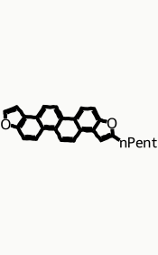 CCCCCc1cc2c(ccc3c2ccc2c4ccc5occc5c4ccc32)o1